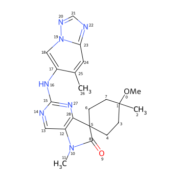 COC1(C)CCC2(CC1)C(=O)N(C)c1cnc(Nc3cn4ncnc4cc3C)nc12